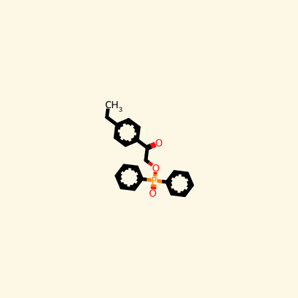 CCc1ccc(C(=O)COP(=O)(c2ccccc2)c2ccccc2)cc1